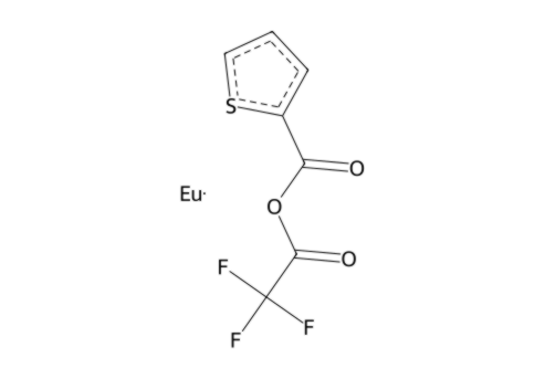 O=C(OC(=O)C(F)(F)F)c1cccs1.[Eu]